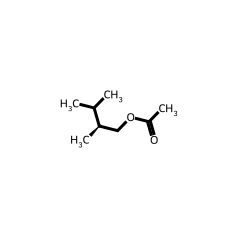 CC(=O)OC[C@@H](C)C(C)C